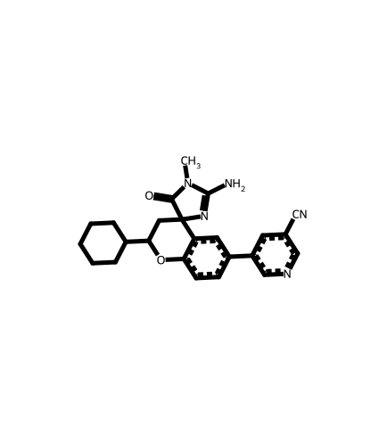 CN1C(=O)C2(CC(C3CCCCC3)Oc3ccc(-c4cncc(C#N)c4)cc32)N=C1N